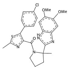 COc1cc2nc(C3(C)CCCN3C(=O)c3nc(C)sc3-c3ccc(Cl)cc3)[nH]c2cc1OC